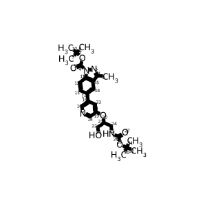 Cc1nn(C(=O)OC(C)(C)C)c2ccc(-c3cncc(OC(CO)CNC(=O)OC(C)(C)C)c3)cc12